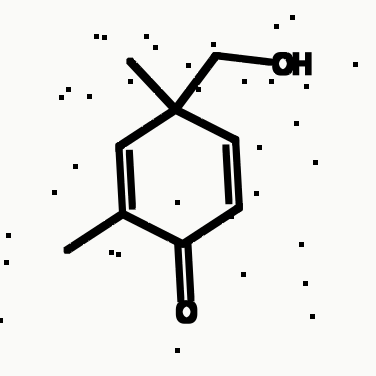 CC1=CC(C)(CO)C=CC1=O